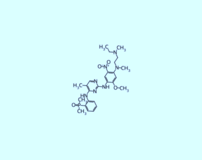 CCN(C)CCN(C)c1cc(OC)c(Nc2ncc(C)c(Nc3ccccc3P(C)(C)=O)n2)cc1[N+](=O)[O-]